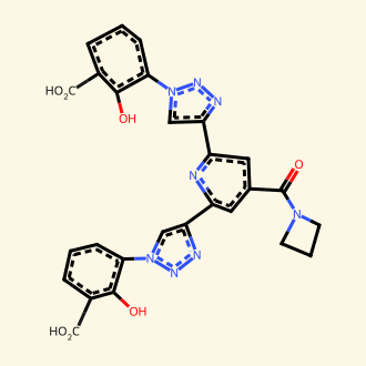 O=C(O)c1cccc(-n2cc(-c3cc(C(=O)N4CCC4)cc(-c4cn(-c5cccc(C(=O)O)c5O)nn4)n3)nn2)c1O